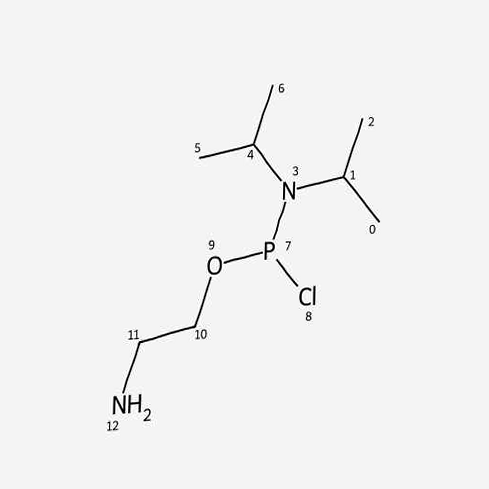 CC(C)N(C(C)C)P(Cl)OCCN